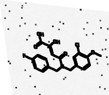 COc1ccc(CN(Cc2ccc(F)cc2)C(=O)C=C(O)C(=O)O)cc1Cl